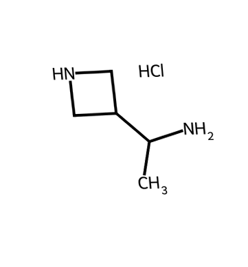 CC(N)C1CNC1.Cl